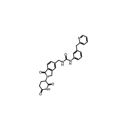 O=C1CCC(N2Cc3cc(CNC(=O)Nc4cccc(Cc5ccccn5)c4)ccc3C2=O)C(=O)N1